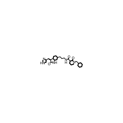 O=C1Nc2cc(CCCNC(=O)c3cccn(Cc4ccccc4)c3=O)ccc2C1=Cc1c[nH]cn1